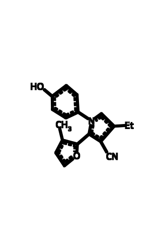 CCc1cn(-c2ccc(O)cc2)c(-c2occc2C)c1C#N